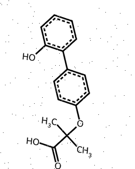 CC(C)(Oc1ccc(-c2ccccc2O)cc1)C(=O)O